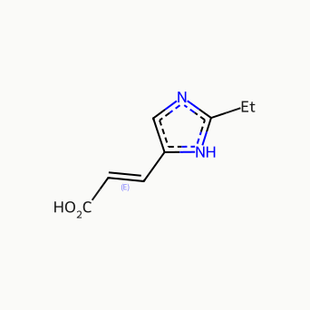 CCc1ncc(/C=C/C(=O)O)[nH]1